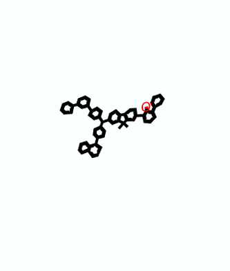 CC1(C)c2cc(-c3cccc4c3oc3ccccc34)ccc2-c2ccc(C(c3ccc(-c4cccc(-c5ccccc5)c4)cc3)c3ccc(-c4cccc5ccccc45)cc3)cc21